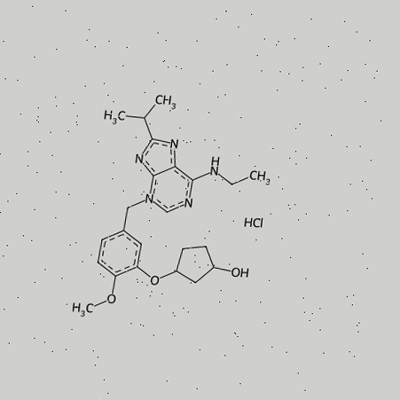 CCNc1ncn(Cc2ccc(OC)c(OC3CCC(O)C3)c2)c2nc(C(C)C)nc1-2.Cl